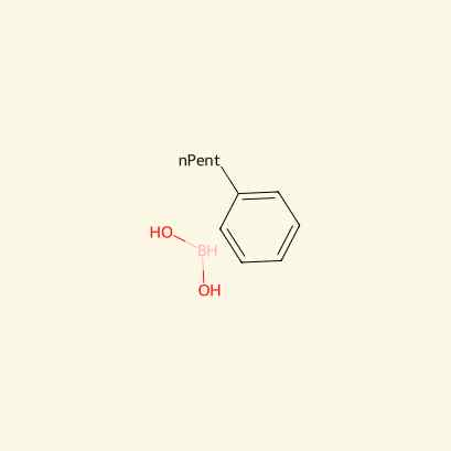 CCCCCc1ccccc1.OBO